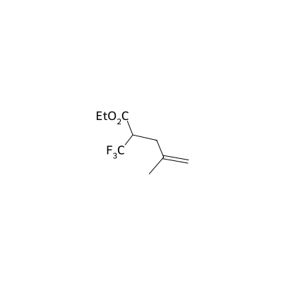 C=C(C)CC(C(=O)OCC)C(F)(F)F